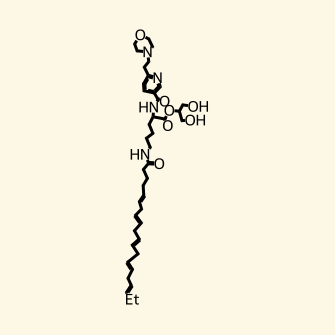 CCC=CCC=CCC=CCC=CCC=CCCCC(=O)NCCCCC(NC(=O)c1ccc(CCN2CCOCC2)nc1)C(=O)OC(CO)CO